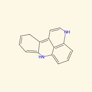 C1=CCc2c3cc[nH]c4cccc([nH]c2=C1)c4-3